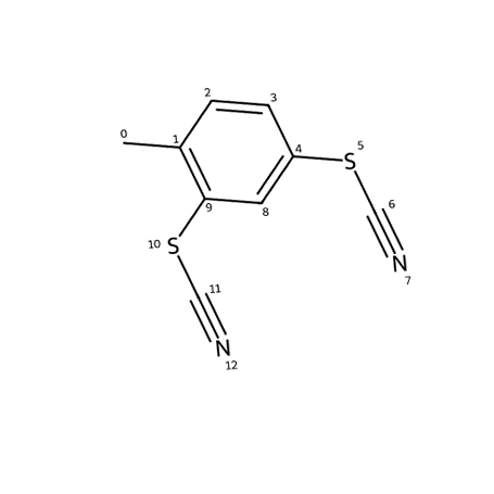 Cc1ccc(SC#N)cc1SC#N